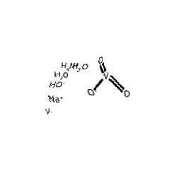 O.O.[NH4+].[Na+].[OH-].[O]=[V](=[O])[O-].[V]